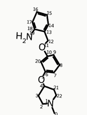 CN1CCC(Oc2cccc(OCc3ccccc3N)c2)CC1